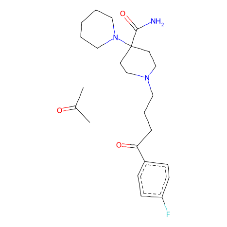 CC(C)=O.NC(=O)C1(N2CCCCC2)CCN(CCCC(=O)c2ccc(F)cc2)CC1